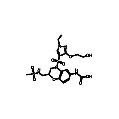 CCn1cc(S(=O)(=O)N2CC(CNS(C)(=O)=O)Oc3ccc(NC(=O)O)cc32)c(OCCO)n1